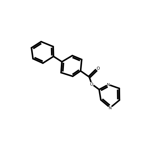 O=C(Oc1cnccn1)c1ccc(-c2ccccc2)cc1